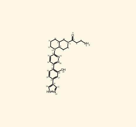 NCCC(=O)N1CCC2C(CCCN2c2ccc(-c3ccc(-c4cn[nH]c4)cc3O)nn2)C1